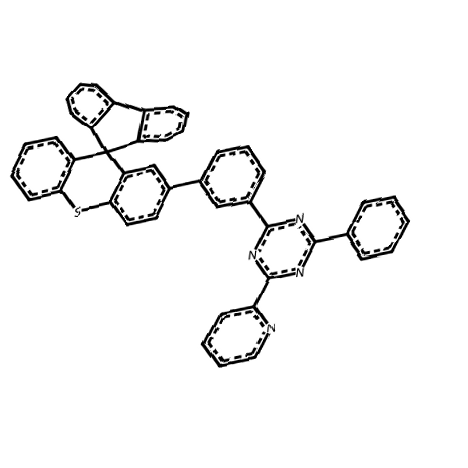 c1ccc(-c2nc(-c3cccc(-c4ccc5c(c4)C4(c6ccccc6S5)c5ccccc5-c5ccccc54)c3)nc(-c3ccccn3)n2)cc1